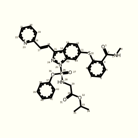 CNC(=O)c1ccccc1Sc1ccc2c(/C=C/c3ccccn3)nn([P@@](=O)(NCC(=O)OC(C)C)Oc3ccccc3)c2c1